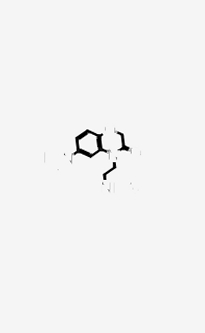 CC(=O)NCCN1C(=O)COc2ccc(N)cc21